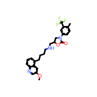 COc1cnc2cccc(CCCCNCC3CN(c4ccc(C)c(C(F)(F)F)c4)C(=O)O3)c2c1